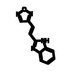 C(=Cc1nc2ccccc2[nH]1)c1cnon1